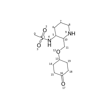 CS(=O)(=O)NC1CCCNC1COC1CCC(=O)CC1